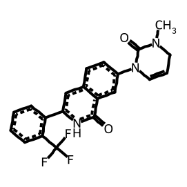 CN1CC=CN(c2ccc3cc(-c4ccccc4C(F)(F)F)[nH]c(=O)c3c2)C1=O